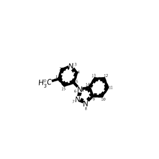 Cc1cncc(-n2nnc3ccccc32)c1